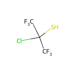 FC(F)(F)C(S)(Cl)C(F)(F)F